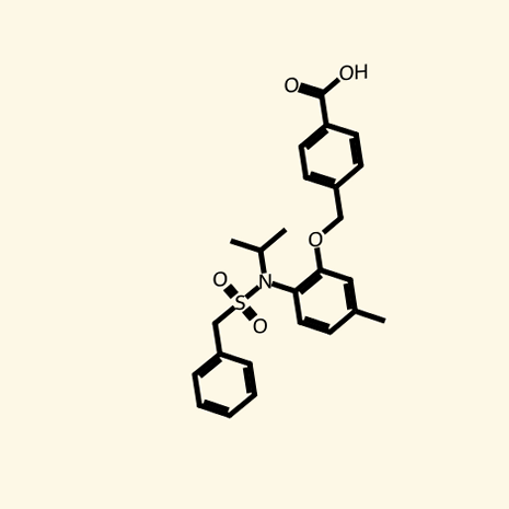 Cc1ccc(N(C(C)C)S(=O)(=O)Cc2ccccc2)c(OCc2ccc(C(=O)O)cc2)c1